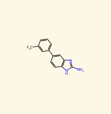 Nc1nc2cc(-c3cccc(C(F)(F)F)c3)ccc2[nH]1